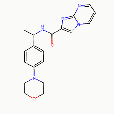 CC(NC(=O)c1cn2cccnc2n1)c1ccc(N2CCOCC2)cc1